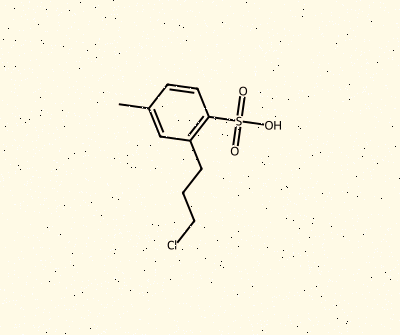 Cc1ccc(S(=O)(=O)O)c(CCCCl)c1